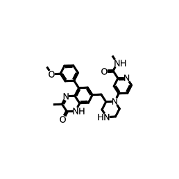 CNC(=O)c1cc(N2CCNCC2Cc2cc(-c3cccc(OC)c3)c3nc(C)c(=O)[nH]c3c2)ccn1